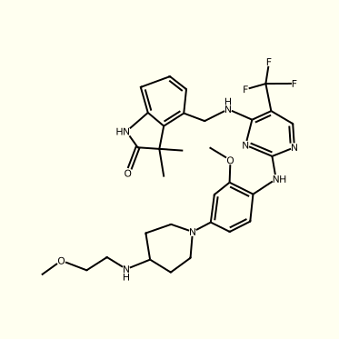 COCCNC1CCN(c2ccc(Nc3ncc(C(F)(F)F)c(NCc4cccc5c4C(C)(C)C(=O)N5)n3)c(OC)c2)CC1